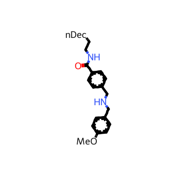 CCCCCCCCCCCCNC(=O)c1ccc(CNCc2ccc(OC)cc2)cc1